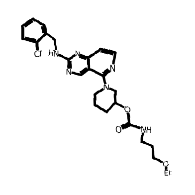 CCOCCCNC(=O)OC1CCCN(c2nccc3nc(NCc4ccccc4Cl)ncc23)C1